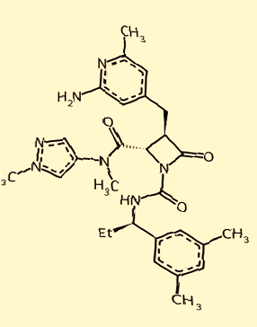 CC[C@@H](NC(=O)N1C(=O)[C@H](Cc2cc(C)nc(N)c2)[C@H]1C(=O)N(C)c1cnn(C)c1)c1cc(C)cc(C)c1